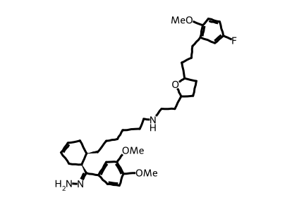 COc1ccc(F)cc1CCCC1CCC(CCNCCCCCC[C@@H]2CC=CC[C@@H]2/C(=N\N)c2ccc(OC)c(OC)c2)O1